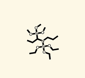 CCCN(C(CC)[Si](OC)(OC)OC)[Si](OCC)(OCC)OCC